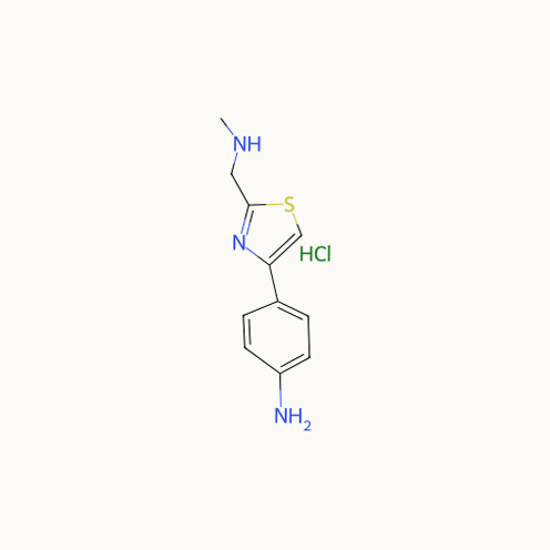 CNCc1nc(-c2ccc(N)cc2)cs1.Cl